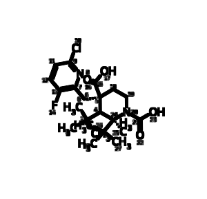 CC(C)(C)C1[C@@](Cc2nc(Cl)ccc2F)(C(=O)O)CCN(C(=O)O)[C@@]1(C)C(C)(C)C